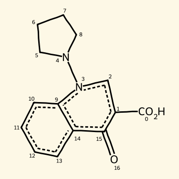 O=C(O)c1cn(N2CCCC2)c2ccccc2c1=O